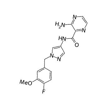 COc1cc(Cn2cc(NC(=O)c3nccnc3N)cn2)ccc1F